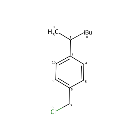 CCC(C)C(C)c1ccc(CCl)cc1